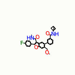 CNC(=O)c1c(-c2ccc(F)cc2)oc2cc(COC)c(-c3cccc(C(=O)NC45CC(C4)C5)c3)cc12